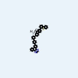 CC1(C)c2cc(-c3cccc(-c4ccc(-c5ccc6c(c5)c5ccccc5c5nccnc65)cc4)c3)ccc2-c2ccc(-c3cccc4c3sc3ccccc34)cc21